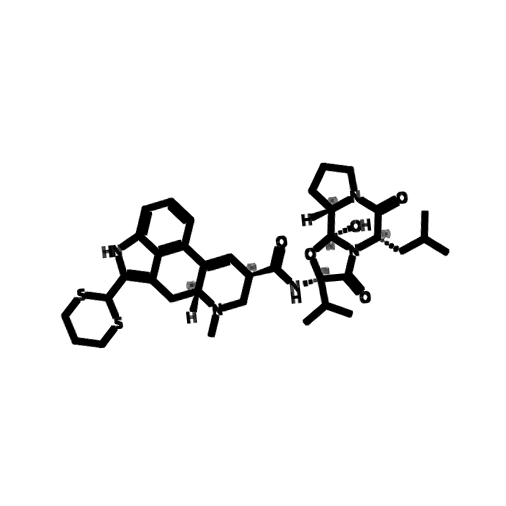 CC(C)C[C@H]1C(=O)N2CCC[C@H]2[C@]2(O)O[C@](NC(=O)[C@@H]3C=C4c5cccc6[nH]c(C7SCCCS7)c(c56)C[C@H]4N(C)C3)(C(C)C)C(=O)N12